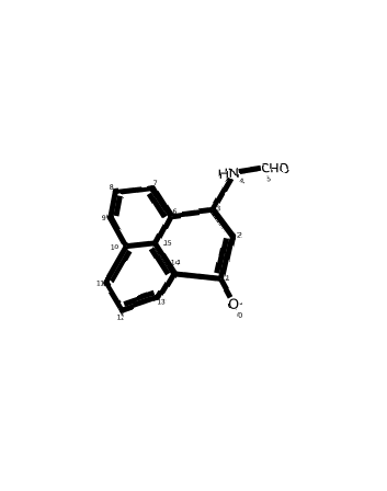 [O]C1=CC(NC=O)c2cccc3cccc1c23